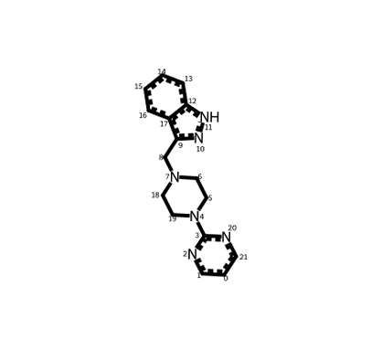 c1cnc(N2CCN(Cc3n[nH]c4ccccc34)CC2)nc1